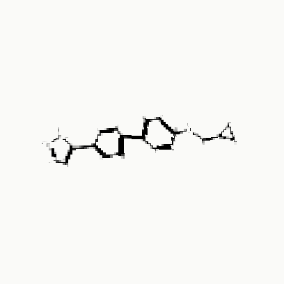 c1cc(-c2ccc(-c3cnn[nH]3)cc2)ccc1OCC1CC1